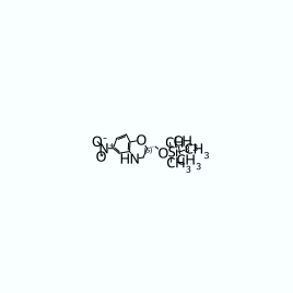 CC(C)(C)[Si](C)(C)OC[C@@H]1CNc2cc([N+](=O)[O-])ccc2O1